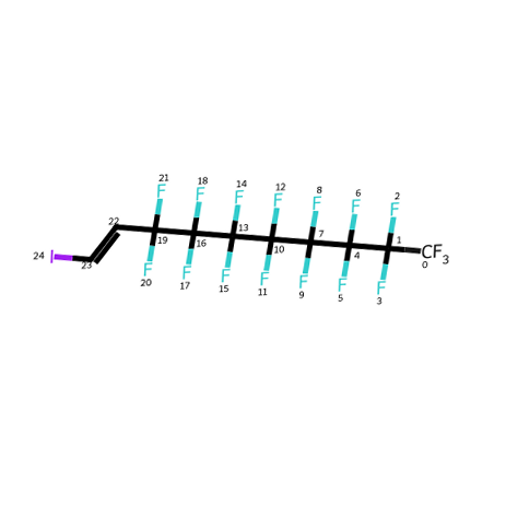 FC(F)(F)C(F)(F)C(F)(F)C(F)(F)C(F)(F)C(F)(F)C(F)(F)C(F)(F)C=CI